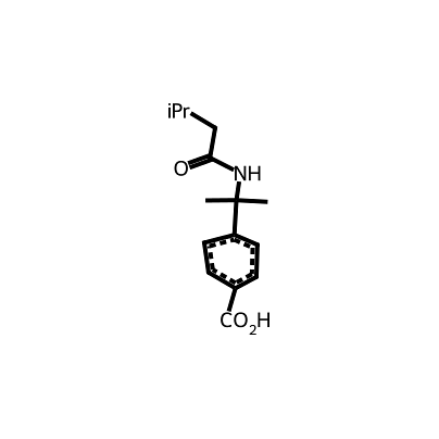 CC(C)CC(=O)NC(C)(C)c1ccc(C(=O)O)cc1